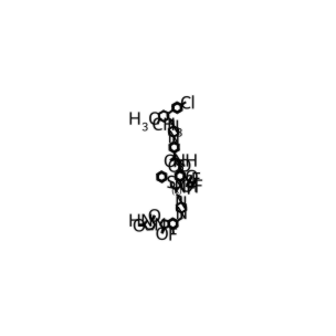 CC1(C)CCC(c2ccc(Cl)cc2)=C(CN2CCN(c3ccc(C(=O)NS(=O)(=O)c4ccc(N[C@H](CCN5CCN(Cc6cc(F)c7c(c6)CN(C6CCC(=O)NC6=O)C7=O)CC5)CSc5ccccc5)c(S(=O)(=O)C(F)(F)F)c4)cc3)CC2)C1